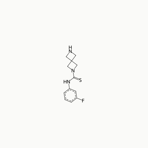 Fc1cccc(NC(=S)N2CC3(CNC3)C2)c1